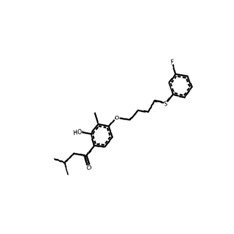 Cc1c(OCCCCSc2cccc(F)c2)ccc(C(=O)CC(C)C)c1O